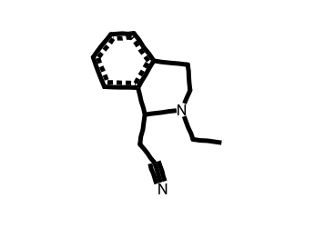 CCN1CCc2ccccc2C1CC#N